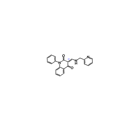 O=C1/C(=C\NCc2ccccn2)C(=O)N(c2ccccc2)c2ccccc21